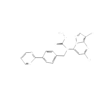 CC(C)c1cnn2c(N(Cc3ccc(-c4ncccn4)cc3)C(=O)OC(C)(C)C)cc(Cl)nc12